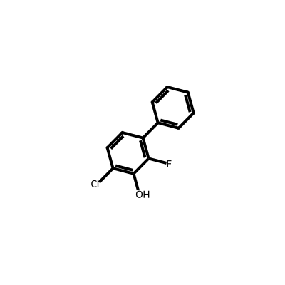 Oc1c(Cl)ccc(-c2ccccc2)c1F